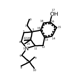 CCC12CCN(CC(C)(C)C)C(Cc3ccc(O)cc31)C2(C)C